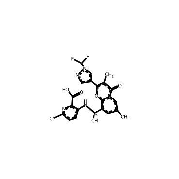 Cc1cc([C@@H](C)Nc2ccc(Cl)nc2C(=O)O)c2oc(-c3cnn(C(F)F)c3)c(C)c(=O)c2c1